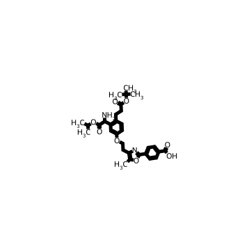 Cc1oc(-c2ccc(C(=O)O)cc2)nc1CCOc1ccc(CCC(=O)OC(C)(C)C)c(C(N)C(=O)OC(C)C)c1